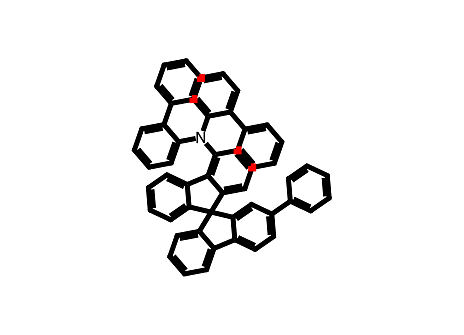 c1ccc(-c2ccc3c(c2)C2(c4ccccc4-3)c3ccccc3-c3c(N(c4ccccc4-c4ccccc4)c4ccccc4-c4ccccc4)cccc32)cc1